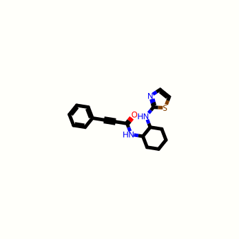 O=C(C#Cc1ccccc1)NC1CCCCC1Nc1nccs1